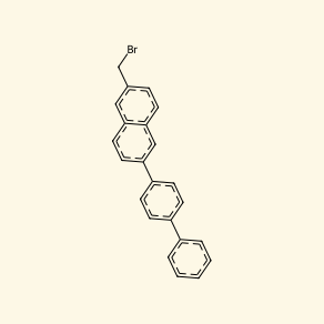 BrCc1ccc2cc(-c3ccc(-c4ccccc4)cc3)ccc2c1